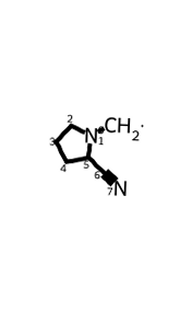 [CH2]N1CCCC1C#N